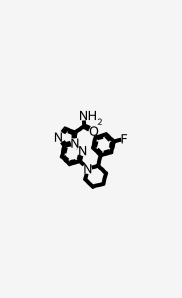 NC(=O)c1cnc2ccc(N3CCCCC3c3cccc(F)c3)nn12